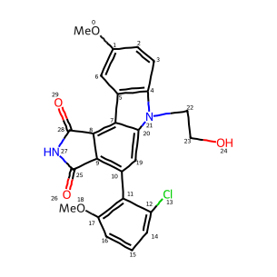 COc1ccc2c(c1)c1c3c(c(-c4c(Cl)cccc4OC)cc1n2CCO)C(=O)NC3=O